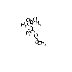 COCCOCCC(CCC(C)(C)N(Cl)Cl)C(F)(F)F